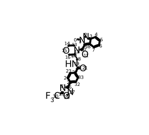 Cn1nc2ccccc2c1C(=O)N1CCOC[C@@H]1CNC(=O)c1ccc(-c2noc(C(F)(F)F)n2)cc1